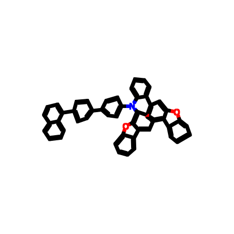 c1ccc(N(c2ccc(-c3ccc(-c4cccc5ccccc45)cc3)cc2)c2cccc3c2oc2ccccc23)c(-c2ccc3c(c2)oc2ccccc23)c1